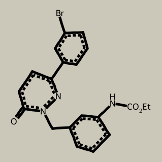 CCOC(=O)Nc1cccc(Cn2nc(-c3cccc(Br)c3)ccc2=O)c1